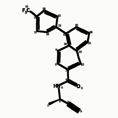 C#C[C@@H](C)NC(=O)c1ccc2c(-c3ccc(C(F)(F)F)cc3)cccc2c1